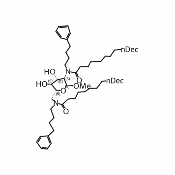 CCCCCCCCCCCCCCCCCC(=O)N(CCCCc1ccccc1)C[C@H]1O[C@H](OC)[C@@H](N(CCCCc2ccccc2)C(=O)CCCCCCCCCCCCCCCCC)[C@@H](O)[C@@H]1O